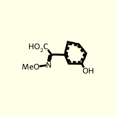 CON=C(C(=O)O)c1cccc(O)c1